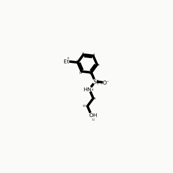 CCc1cccc([S+]([O-])NCCO)c1